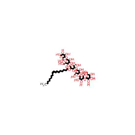 CCCCCCCC/C=C\CCCCCCCC(=O)O[C@H]1[C@@H](O[C@H]2[C@H](O)[C@@H](O)[C@@H](O[C@H]3[C@H](O)[C@@H](O)[C@@H](O)O[C@@H]3CO)O[C@@H]2CO)O[C@H](CO)[C@@H](O[C@H]2O[C@H](CO)[C@@H](O[C@H]3O[C@H](CO)[C@@H](O[C@H]4O[C@H](CO)[C@@H](O)[C@H](O)[C@H]4O)[C@H](O)[C@H]3O)[C@H](O)[C@H]2O)[C@@H]1O